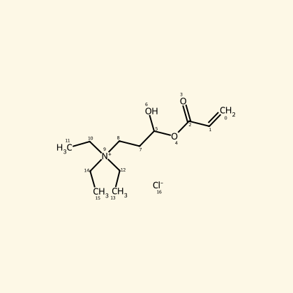 C=CC(=O)OC(O)CC[N+](CC)(CC)CC.[Cl-]